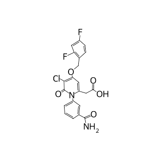 NC(=O)c1cccc(-n2c(CC(=O)O)cc(OCc3ccc(F)cc3F)c(Cl)c2=O)c1